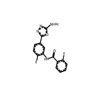 CC(=O)Nc1nnc(-c2ccc(F)c(NC(=O)c3ccccc3F)c2)o1